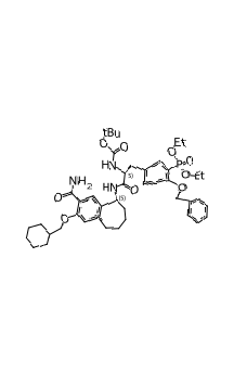 CCOP(=O)(OCC)c1cc(C[C@H](NC(=O)OC(C)(C)C)C(=O)N[C@H]2CCCCc3cc(OCC4CCCCC4)c(C(N)=O)cc32)ccc1OCc1ccccc1